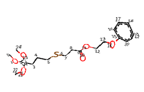 CO[Si](CCCSCCC(=O)OCCOc1ccccc1)(OC)OC